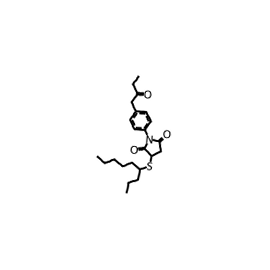 CCCCCC(CCC)SC1CC(=O)N(c2ccc(CC(=O)CC)cc2)C1=O